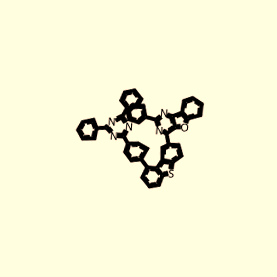 c1ccc(-c2nc(-c3ccccc3)nc(-c3ccc(-c4cccc5sc6ccc(-c7nc(-c8ccccc8)nc8c7oc7ccccc78)cc6c45)cc3)n2)cc1